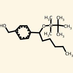 CCCCCC(O[Si](C)(C)C(C)(C)C)c1ccc(CO)cc1